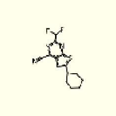 N#Cc1nc(C(F)F)nc2sc(C3CCCCC3)cc12